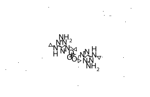 CP(=O)(OC1(Cn2cnc3c(NC4CC4)nc(N)nc32)CC1)OC1(Cn2cnc3c(NC4CC4)nc(N)nc32)CC1